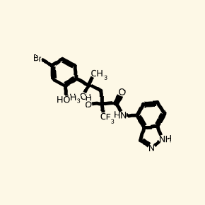 CC(C)(CC(O)(C(=O)Nc1cccc2[nH]ncc12)C(F)(F)F)c1ccc(Br)cc1O